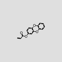 C=CC(=O)Oc1ccc2c(c1)Oc1ccccc1O2